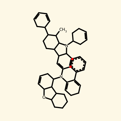 CC1C(C2C=CC=CC2)CCC2C3C=C(N(C4=CCCC=C4c4ccccc4)C4CC=CC5OC6CCCCC6C54)C=CC3N(C3CC=CCC3)C12